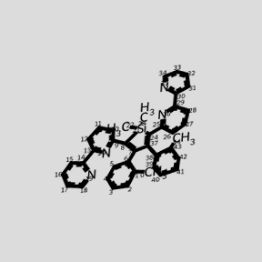 Cc1ccccc1C1=C(c2cccc(-c3ccccn3)n2)[Si](C)(C)C(c2cccc(-c3ccccn3)n2)=C1c1ccccc1C